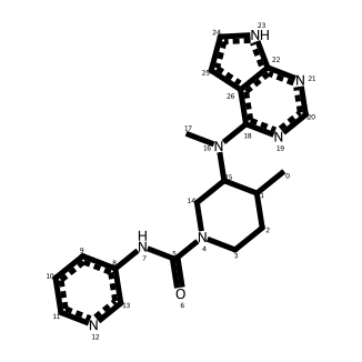 CC1CCN(C(=O)Nc2cccnc2)CC1N(C)c1ncnc2[nH]ccc12